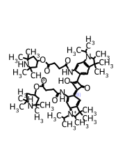 CC(C)N1c2cc(NC(=O)CCC(=O)OC3CC(C)(C)NC(C)(C)C3)c(C3=C(O)/C(=c4/cc5c(cc4NC(=O)CCC(=O)OC4CC(C)(C)NC(C)(C)C4)=[N+](C(C)C)C(C)C5(C)C)C3=O)cc2C(C)(C)C1C